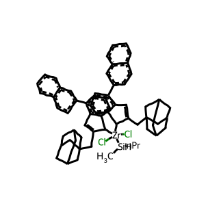 CCC[SiH](C)[Zr]([Cl])([Cl])([CH]1C(CC23CC4CC(CC(C4)C2)C3)=Cc2c(-c3ccc4ccccc4c3)cccc21)[CH]1C(CC23CC4CC(CC(C4)C2)C3)=Cc2c(-c3ccc4ccccc4c3)cccc21